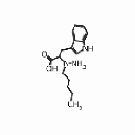 CCCCCN(N)C(Cc1c[nH]c2ccccc12)C(=O)O